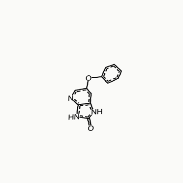 O=c1[nH]c2cc(Oc3ccccc3)cnc2[nH]1